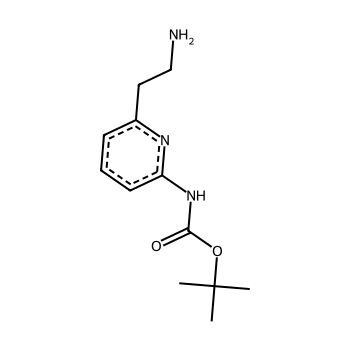 CC(C)(C)OC(=O)Nc1cccc(CCN)n1